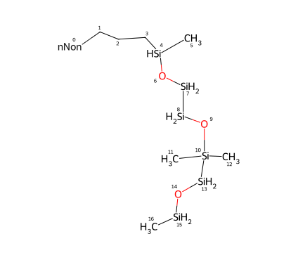 CCCCCCCCCCCC[SiH](C)O[SiH2][SiH2]O[Si](C)(C)[SiH2]O[SiH2]C